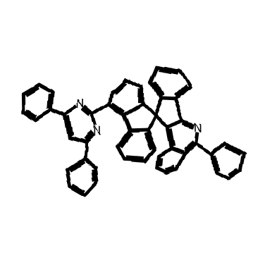 c1ccc(-c2cc(-c3ccccc3)nc(-c3cccc4c3-c3ccccc3C43c4ccccc4-c4nc(-c5ccccc5)c5ccccc5c43)n2)cc1